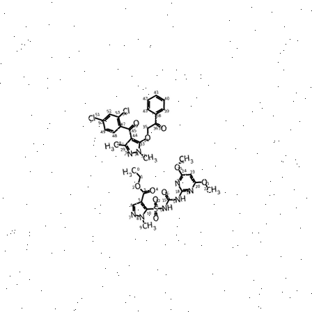 CCOC(=O)c1cnn(C)c1S(=O)(=O)NC(=O)Nc1nc(OC)cc(OC)n1.Cc1nn(C)c(OCC(=O)c2ccccc2)c1C(=O)c1ccc(Cl)cc1Cl